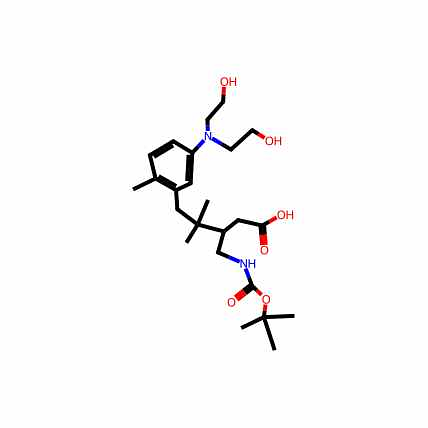 Cc1ccc(N(CCO)CCO)cc1CC(C)(C)C(CNC(=O)OC(C)(C)C)CC(=O)O